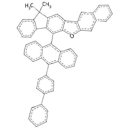 CC1(C)c2ccccc2-c2c1cc1c(oc3cc4ccccc4cc31)c2-c1c2ccccc2c(-c2ccc(-c3ccccc3)cc2)c2ccccc12